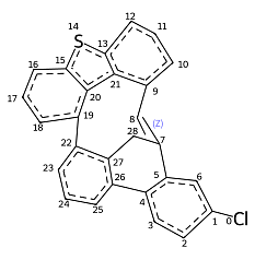 Clc1ccc2c(c1)/C1=C\c3cccc4sc5cccc(c5c34)-c3cccc-2c3C1